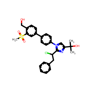 CC(C)(O)c1cn(-c2ccc(-c3ccc(CO)c(S(C)(=O)=O)c3)cc2)c(C(Cl)Cc2ccccc2)n1